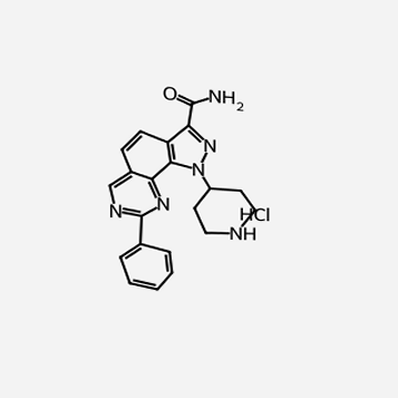 Cl.NC(=O)c1nn(C2CCNCC2)c2c1ccc1cnc(-c3ccccc3)nc12